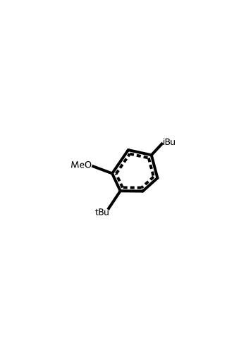 CCC(C)c1ccc(C(C)(C)C)c(OC)c1